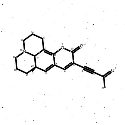 CC(=O)C#Cc1cc2c(oc1=O)=C1CCCN3CCCC(C)(C=2)C13